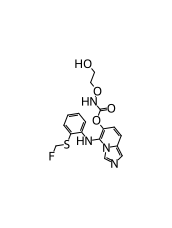 O=C(NOCCO)Oc1ccc2cncn2c1Nc1ccccc1SCF